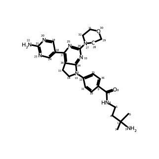 CC(C)(N)CCNC(=O)c1ccc(N2CCc3c(-c4cnc(N)nc4)nc(N4CCOCC4)nc32)cc1